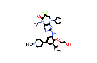 CNC(=O)c1cc(C2CCN(C)CC2)cc(Nc2ncc3c(n2)N(C2CCCC2)CC(F)(F)C(=O)N3C)c1OCCO